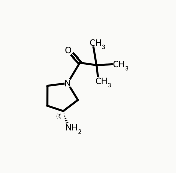 CC(C)(C)C(=O)N1CC[C@@H](N)C1